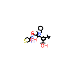 Cc1c(C(=O)NCC2(O)CCSCC2)cc(-c2cc(C(C)(C)O)cc(C3(C)CC3)c2)n1CC1CCCCC1